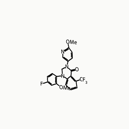 COc1ccc(N2CN(c3ccc(F)cc3OC)c3cccc(C(F)(F)F)c3C2=O)cn1